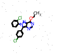 CCOc1ncnc2c(-c3ccc(Cl)cc3)n(-c3ccccc3Cl)nc12